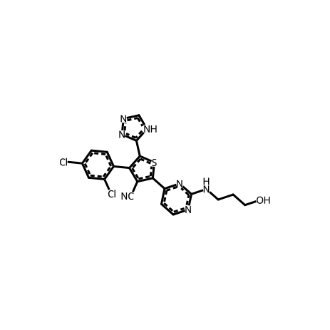 N#Cc1c(-c2ccnc(NCCCO)n2)sc(-c2nnc[nH]2)c1-c1ccc(Cl)cc1Cl